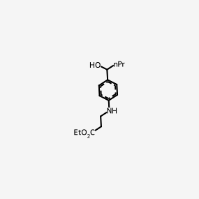 CCCC(O)c1ccc(NCCC(=O)OCC)cc1